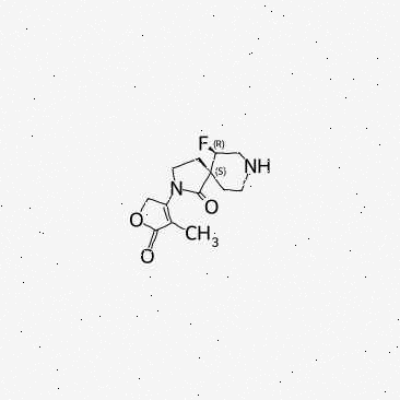 CC1=C(N2CC[C@@]3(CCNC[C@@H]3F)C2=O)COC1=O